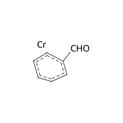 O=Cc1ccccc1.[Cr]